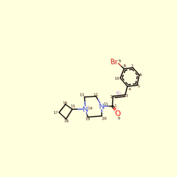 O=C(/C=C/c1cccc(Br)c1)N1CCN(C2CCC2)CC1